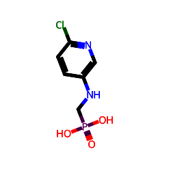 O=P(O)(O)CNc1ccc(Cl)nc1